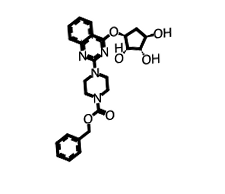 O=C(OCc1ccccc1)N1CCN(c2nc(O[C@H]3C[C@@H](O)[C@H](O)[C@@H]3O)c3ccccc3n2)CC1